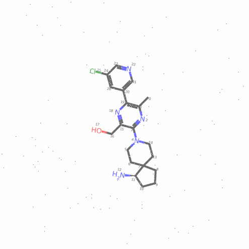 Cc1nc(N2CCC3(CCC[C@H]3N)CC2)c(CO)nc1-c1cncc(Cl)c1